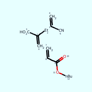 C=C(CC)C(=O)O.C=CC#N.C=CC(=O)OCCCC